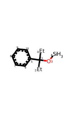 CCC(CC)(O[SiH3])c1ccccc1